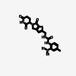 CCN(CC)c1cc(C)ccc1NC(=O)NCc1cc2c(s1)C(=O)N(C1CCC(=O)NC1=O)C2